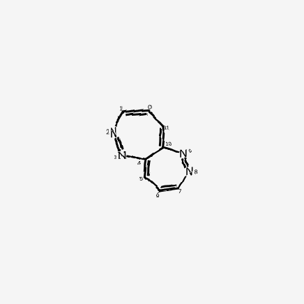 C1=CN=NC2=CC=CN=NC2=C1